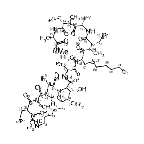 CC[C@H](NC(=O)C([C@H](O)[C@H](C)CCCCCCN)N(C)C(=O)[C@H](C(C)C)N(C)C(=O)N(C)C(=O)[C@H](CC(C)C)N(C)C=O)C(=O)N(C)[C@H](CSCCCCO)C(=O)N(C)[C@@H](CC(C)C)C(=O)N[C@H](C(=O)N(C)[C@@H](CC(C)C)C(=O)N[C@H](C)C(=O)NC)C(C)C